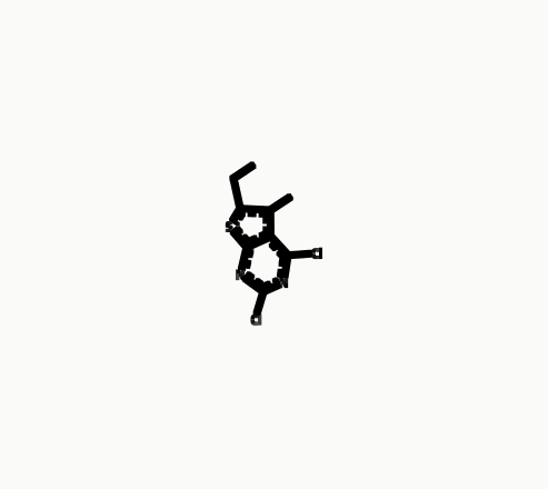 CCc1sc2nc(Cl)nc(Cl)c2c1C